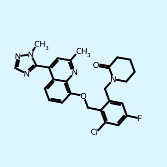 Cc1cc(-c2ncnn2C)c2cccc(OCc3c(Cl)cc(F)cc3CN3CCCCC3=O)c2n1